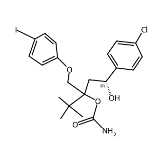 CC(C)(C)C(COc1ccc(I)cc1)(C[C@@H](O)c1ccc(Cl)cc1)OC(N)=O